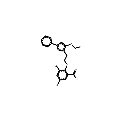 CCOc1cc(-c2ccccc2)nn1CCOc1c(Cl)cc(Cl)cc1C(=O)O